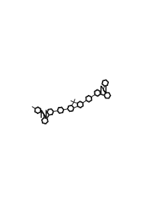 Cc1ccc(-n2c3ccccc3c3cc(-c4ccc(-c5ccc6c(c5)C(C)(C)c5cc(-c7ccc(-c8ccc9c(c8)c8ccccc8n9-c8ccccc8)cc7)ccc5-6)cc4)ccc32)cc1